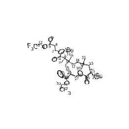 CC(C)(C)CC(C)(C(=O)OCCC(=O)OCC(F)(F)F)C(C)(C)CCC(C)(C)CC(C(=O)OCCC(=O)OCC(F)(F)F)C(C)(C)C